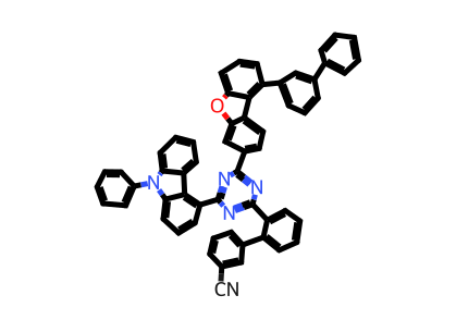 N#Cc1cccc(-c2ccccc2-c2nc(-c3ccc4c(c3)oc3cccc(-c5cccc(-c6ccccc6)c5)c34)nc(-c3cccc4c3c3ccccc3n4-c3ccccc3)n2)c1